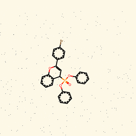 O=P(Oc1ccccc1)(Oc1ccccc1)C1C=C(c2ccc(Br)cc2)Oc2ccccc21